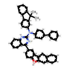 CC1(C)c2ccccc2-c2ccc(N(c3ccc(-c4ccccc4)cc3)c3nc(-c4ccc5oc6cc7ccccc7cc6c5c4)c4ccccc4n3)cc21